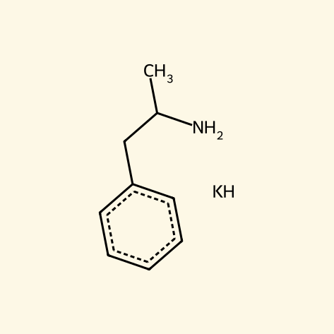 CC(N)Cc1ccccc1.[KH]